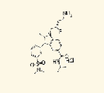 Cc1c(-c2cccc(S(=O)(=O)N(C)C)c2)c2cc(C(=O)NC(C)C)ccc2n1C/C(F)=C/CN.Cl